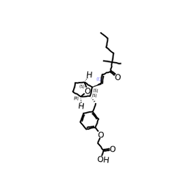 CCCCC(C)(C)C(=O)/C=C/[C@H]1[C@H](Cc2cccc(OCC(=O)O)c2)[C@H]2CC[C@@H]1O2